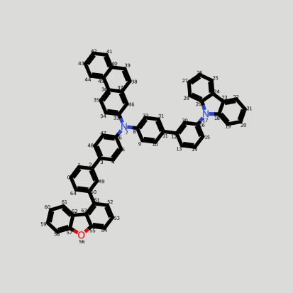 c1cc(-c2ccc(N(c3ccc(-c4cccc(-n5c6ccccc6c6ccccc65)c4)cc3)c3ccc4c(ccc5ccccc54)c3)cc2)cc(-c2cccc3oc4ccccc4c23)c1